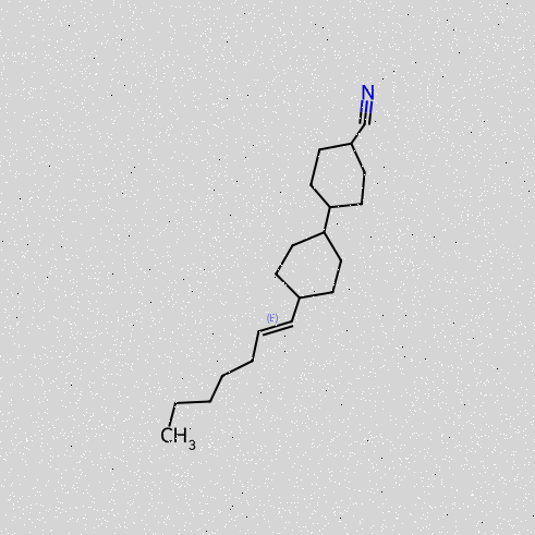 CCCCC/C=C/C1CCC(C2CCC(C#N)CC2)CC1